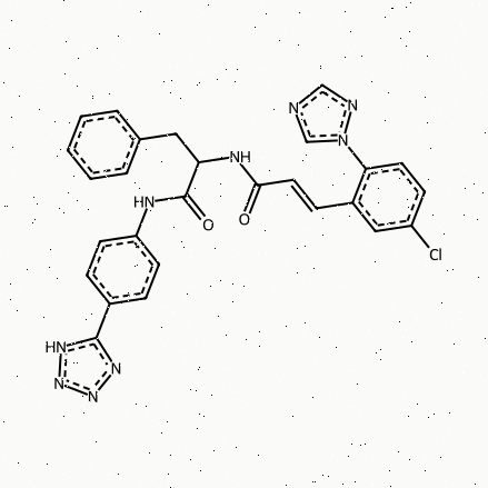 O=C(/C=C/c1cc(Cl)ccc1-n1cncn1)NC(Cc1ccccc1)C(=O)Nc1ccc(-c2nnn[nH]2)cc1